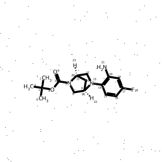 CC(C)(C)OC(=O)N1C[C@H]2C[C@@H]1CN2c1ccc(F)cc1N